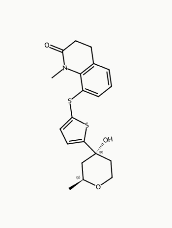 C[C@H]1C[C@@](O)(c2ccc(Sc3cccc4c3N(C)C(=O)CC4)s2)CCO1